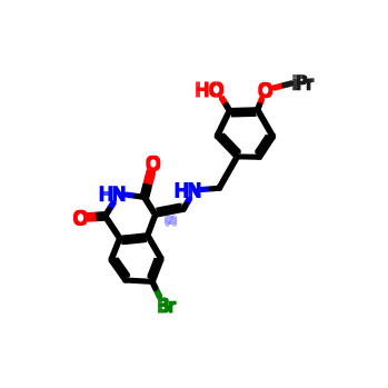 CC(C)Oc1ccc(CN/C=C2\C(=O)NC(=O)c3ccc(Br)cc32)cc1O